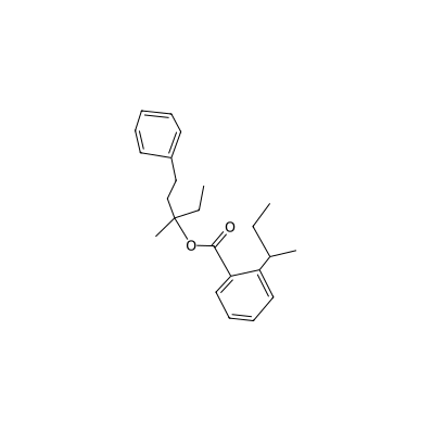 CCC(C)c1ccccc1C(=O)OC(C)(CC)CCc1ccccc1